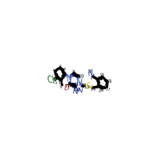 Cc1c(Cl)cccc1-n1ccn2c(SCc3ccccc3C#N)nnc2c1=O